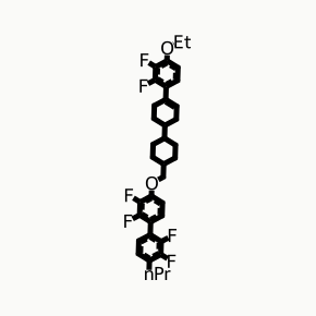 CCCc1ccc(-c2ccc(OCC3CCC(C4CC=C(c5ccc(OCC)c(F)c5F)CC4)CC3)c(F)c2F)c(F)c1F